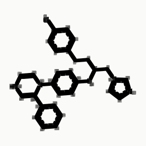 Clc1ccc(CCC(Cn2ccnc2)Oc2ccc(N3C=CNC=C3c3ccccc3)cc2)cc1